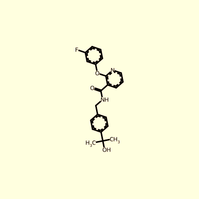 CC(C)(O)c1ccc(CNC(=O)c2cccnc2Oc2cccc(F)c2)cc1